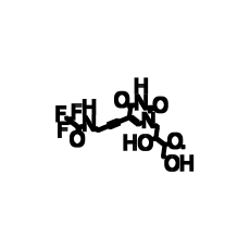 COC(CO)C(O)Cn1cc(C#CCNC(=O)C(F)(F)F)c(=O)[nH]c1=O